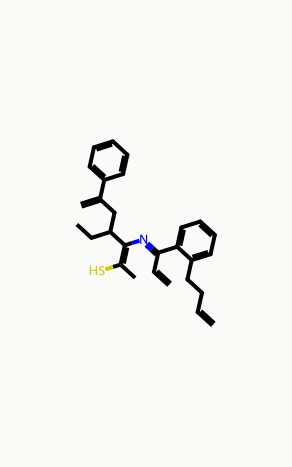 C=CCCc1ccccc1/C(C=C)=N/C(=C(\C)S)C(CC)CC(=C)c1ccccc1